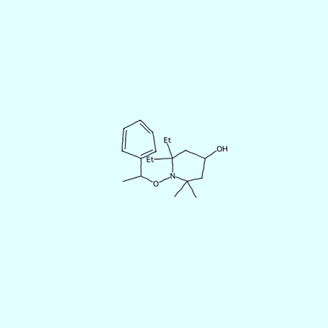 CCC1(CC)CC(O)CC(C)(C)N1OC(C)c1ccccc1